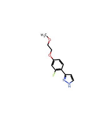 COCCOc1ccc(-c2cc[nH]n2)c(F)c1